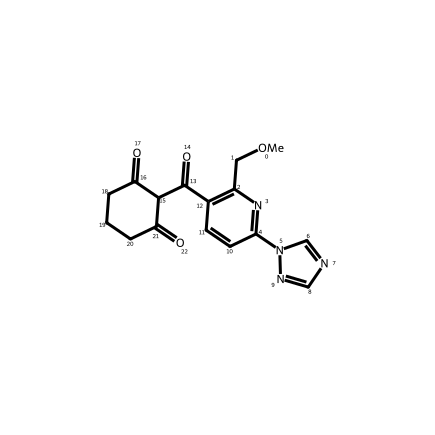 COCc1nc(-n2cncn2)ccc1C(=O)C1C(=O)CCCC1=O